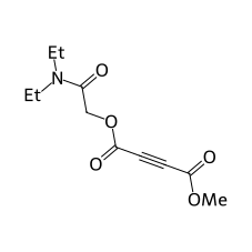 CCN(CC)C(=O)COC(=O)C#CC(=O)OC